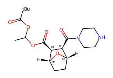 CC(OC(=O)[C@H]1[C@@H](C(=O)N2CCNCC2)[C@@H]2CC[C@H]1O2)OC(=O)C(C)(C)C